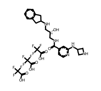 O=C(NC[C@@H](O)CNC1Cc2ccccc2C1)c1ccnc(NC2CNC2)c1.O=C(O)C(F)(F)F.O=C(O)C(F)(F)F.O=C(O)C(F)(F)F